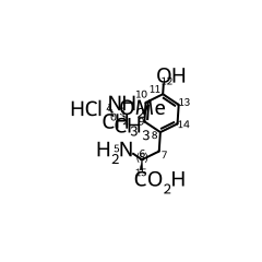 CN.COC.Cl.N[C@@H](Cc1ccc(O)cc1)C(=O)O